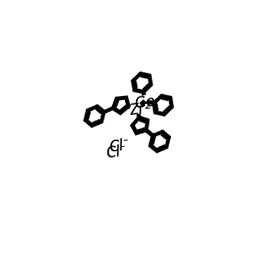 C1=C(c2ccccc2)C=[C]([Zr+2]([C]2=CC(c3ccccc3)=CC2)=[Ge]([c]2ccccc2)[c]2ccccc2)C1.[Cl-].[Cl-]